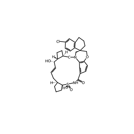 O=C1NS(=O)(=O)[C@H]2CCC[C@H]2C/C=C/[C@H](O)[C@@H]2CC[C@H]2CN2C[C@@]3(CCCc4cc(Cl)ccc43)COc3ccc1cc32